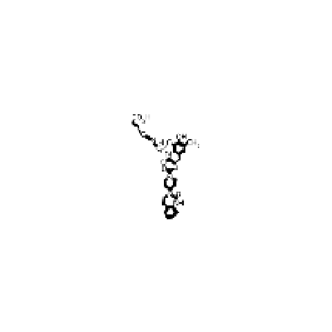 Cc1cc(C[C@@H](OC(=O)N2CCC(N3CCc4ccccc4NC3=O)CC2)C(=O)N=C=C=CN=C=C=NCCC(=O)O)cc(C)c1O